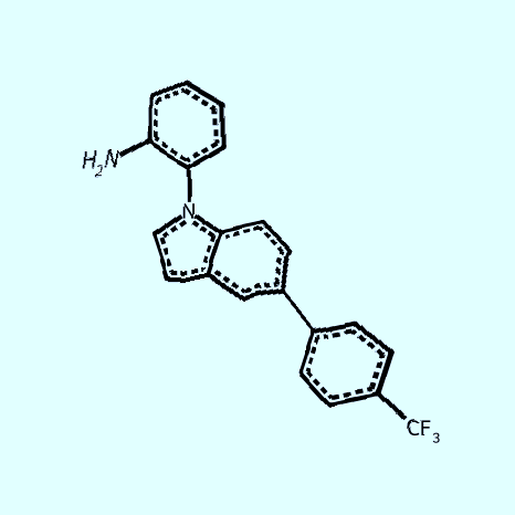 Nc1ccccc1-n1ccc2cc(-c3ccc(C(F)(F)F)cc3)ccc21